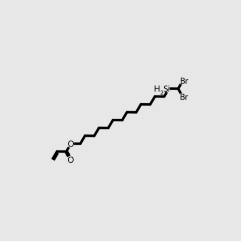 C=CC(=O)OCCCCCCCCCCCCC[SiH2]C(Br)Br